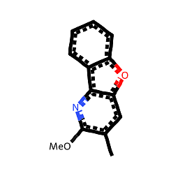 COc1nc2c(cc1C)oc1ccccc12